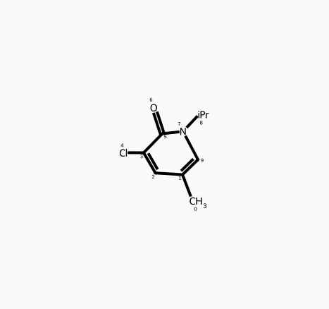 Cc1cc(Cl)c(=O)n(C(C)C)c1